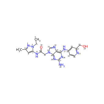 CCn1nc(C)cc1NC(=O)Cn1cnc2c(Nc3ccnc(CO)c3)nc(N)nc21